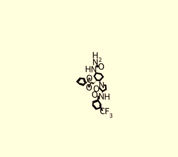 NC(=O)N[C@@H]1CC[C@H](N2CC[C@H](NC(=O)c3cccc(C(F)(F)F)c3)C2=O)[C@H](CS(=O)(=O)c2ccccc2)C1